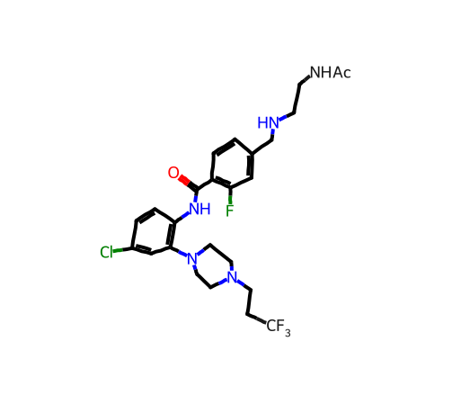 CC(=O)NCCNCc1ccc(C(=O)Nc2ccc(Cl)cc2N2CCN(CCC(F)(F)F)CC2)c(F)c1